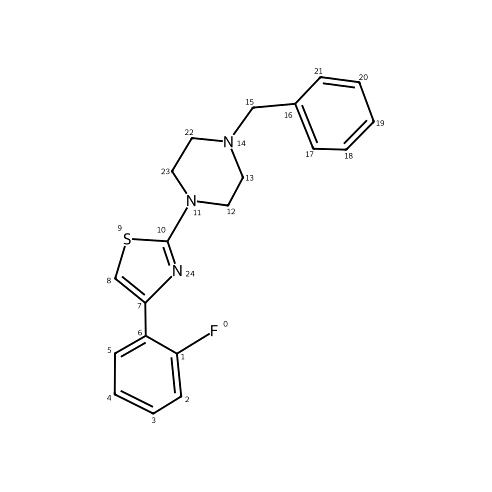 Fc1ccccc1-c1csc(N2CCN(Cc3ccccc3)CC2)n1